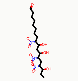 CCC(O)C(CC(C(O)CC(O)C(CCCCCCCC=O)[N+](=O)[O-])[N+](=O)[O-])[N+](=O)[O-]